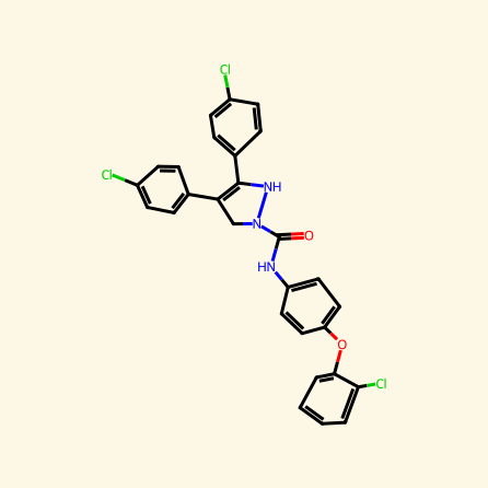 O=C(Nc1ccc(Oc2ccccc2Cl)cc1)N1CC(c2ccc(Cl)cc2)=C(c2ccc(Cl)cc2)N1